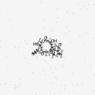 CC[C@H]1OC(=O)[C@H](C)[C@@H](O)[C@H](C)[C@@H](OC2O[C@H](C)C[C@H](N(C)C)[C@H]2OC(C)=O)[C@@](C)(OC)C[C@@H](C)C(=O)/C(CN=[N+]=[N-])=C/[C@]1(C)O